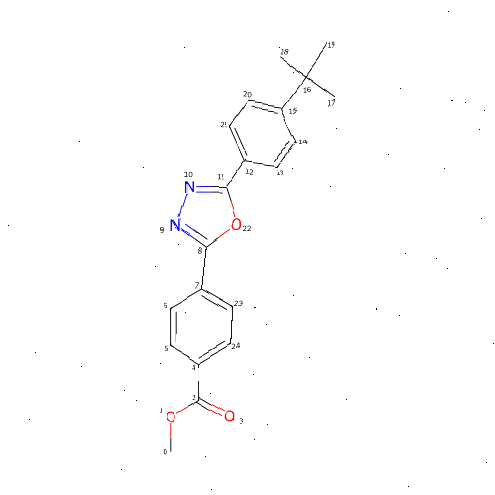 COC(=O)c1ccc(-c2nnc(-c3ccc(C(C)(C)C)cc3)o2)cc1